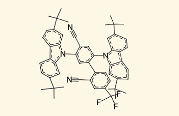 CC(C)(C)c1ccc2c3ccc(C(C)(C)C)cc3n(-c3cc(-c4ccc(C(F)(F)F)cc4C#N)c(-n4c5cc(C(C)(C)C)ccc5c5ccc(C(C)(C)C)cc54)cc3C#N)c2c1